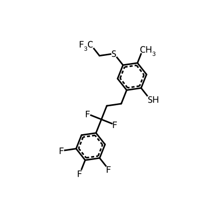 Cc1cc(S)c(CCC(F)(F)c2cc(F)c(F)c(F)c2)cc1SCC(F)(F)F